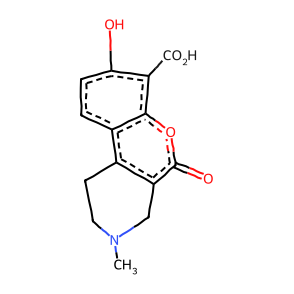 CN1CCc2c(c(=O)oc3c(C(=O)O)c(O)ccc23)C1